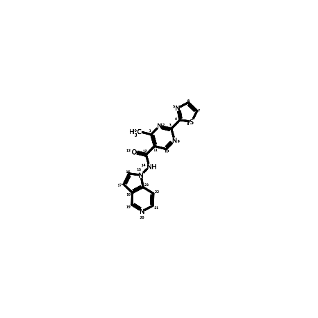 Cc1nc(-c2nccs2)ncc1C(=O)Nn1ccc2cnccc21